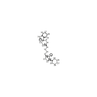 O=C1N(CCCCN2CCC3(CC2)OCc2ccccc23)CCN1C1CCCCC1